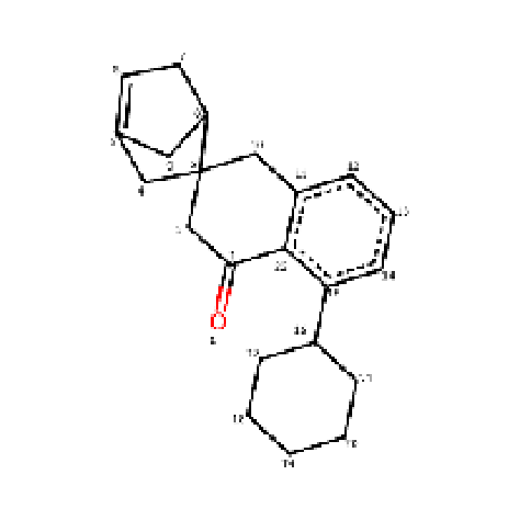 O=C1CC2(CC3=CCC2C3)Cc2cccc(C3CCCCC3)c21